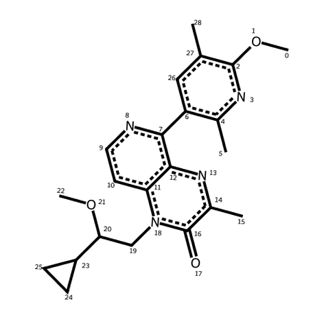 COc1nc(C)c(-c2nccc3c2nc(C)c(=O)n3CC(OC)C2CC2)cc1C